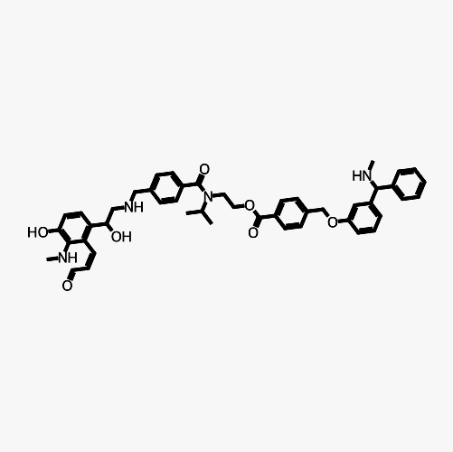 CNc1c(O)ccc(C(O)CNCc2ccc(C(=O)N(CCOC(=O)c3ccc(COc4cccc(C(NC)c5ccccc5)c4)cc3)C(C)C)cc2)c1/C=C\C=O